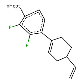 C=CC1CC=C(c2ccc(CCCCCCC)c(F)c2F)CC1